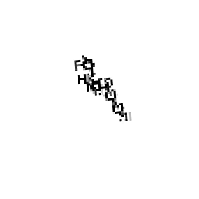 Cc1ccc(CNc2ncnc(C(=O)N3CCC(N4CCC(O)CC4)CC3)c2C)cc1F